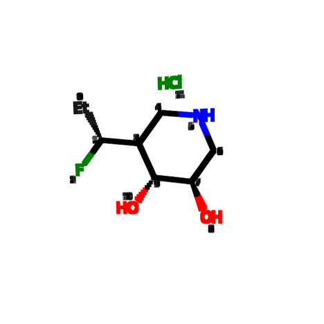 CC[C@@H](F)C1CNC[C@@H](O)[C@@H]1O.Cl